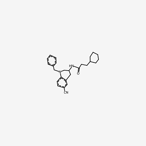 N#Cc1ccc2c(c1)CC(NC(=O)CCC1CCCCC1)CN2Cc1ccccc1